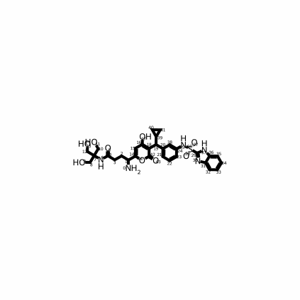 NC(CCC(=O)NC(CO)(CO)CO)c1cc(O)c(C(c2cccc(NS(=O)(=O)c3nc4ccccc4[nH]3)c2)C2CC2)c(=O)o1